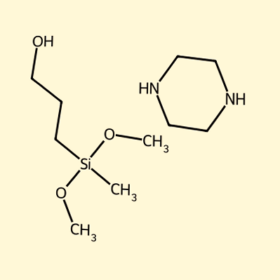 C1CNCCN1.CO[Si](C)(CCCO)OC